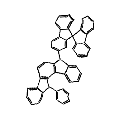 c1ccc(-n2c3ccccc3c3ccc4c(c5ccccc5n4-c4ccc5c(c4)C4(c6ccccc6-c6ccccc64)c4ccccc4-5)c32)cc1